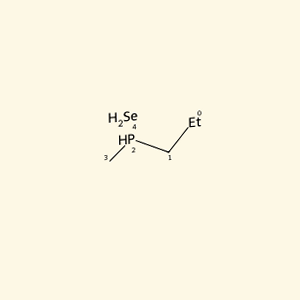 CCCPC.[SeH2]